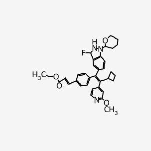 CCOC(=O)/C=C/c1ccc(/C(=C(\c2ccnc(OC)c2)C2CCC2)c2ccc3c(c2)C(F)NN3C2CCCCO2)cc1